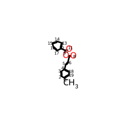 Cc1ccc(C=CC(=O)OC(=O)c2ccccc2)cc1